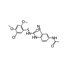 COc1cc(OC)c(SNC(=O)Nc2ccc(NC(C)=O)cc2C#N)cc1Cl